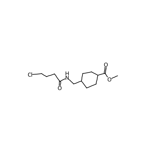 COC(=O)C1CCC(CNC(=O)CCCCl)CC1